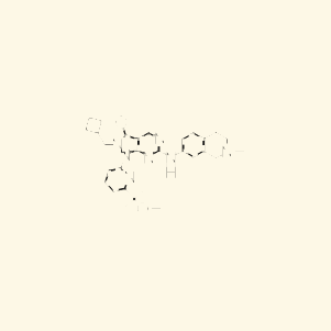 CC(C)(O)c1cccc(-n2c3nc(Nc4ccc5c(c4)CNCC5)ncc3c(=O)n2CC2CCC2)n1